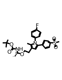 [CH2][C@@H](NC(=O)OC(C)(C)C)OCCc1cc(-c2ccc(S(C)(=O)=O)cc2)n(-c2ccc(F)cc2)c1C